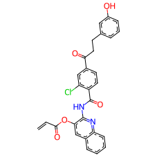 C=CC(=O)Oc1cc2ccccc2nc1NC(=O)c1ccc(C(=O)CCc2cccc(O)c2)cc1Cl